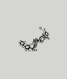 Cc1ccc(C#N)c(S(=O)(=O)N2CCCN(c3nc(C(O)c4ccc(Oc5ccccc5)cc4)ns3)CC2)c1